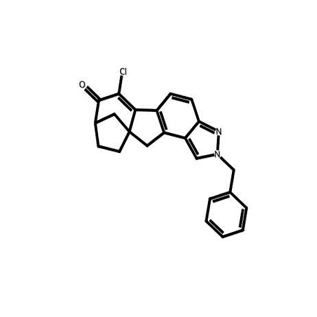 O=C1C(Cl)=C2c3ccc4nn(Cc5ccccc5)cc4c3CC23CCC1C3